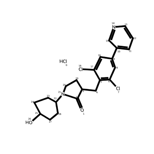 Cl.O=C1C(Cc2c(Cl)cc(-c3cccnc3)cc2Cl)CCN1C1CCC(O)CC1